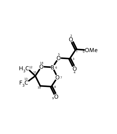 COC(=O)C(=O)OB1OC(=O)CC(C)(C(F)(F)F)O1